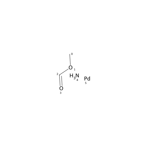 COC=O.N.[Pd]